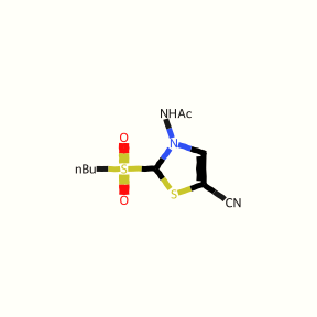 CCCCS(=O)(=O)C1SC(C#N)=CN1NC(C)=O